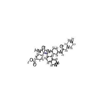 COC(=O)c1ccc2c(c1)NC(=O)/C2=C(\Nc1ccc(N(C)C(=O)CN2CCN(C)CC2)cc1)c1ccc2cnncc2c1